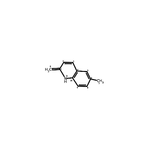 C=C1C=Cc2cc(C)ccc2N1